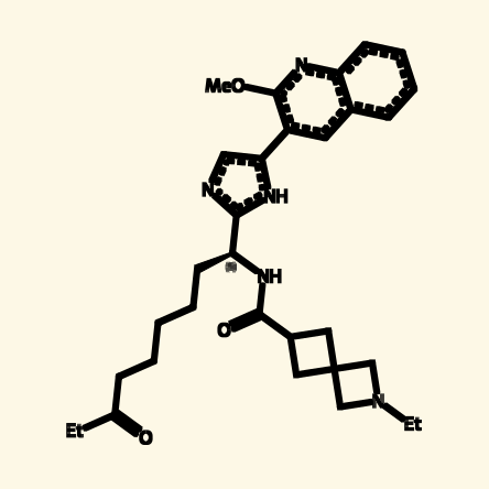 CCC(=O)CCCCC[C@H](NC(=O)C1CC2(C1)CN(CC)C2)c1ncc(-c2cc3ccccc3nc2OC)[nH]1